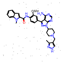 COc1cc(-c2nn(C3CCN(Cc4c[nH]nc4C)CC3)c3ncnc(N)c23)ccc1NC(=O)c1cc2ccccc2n1C